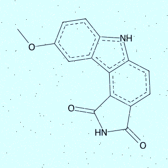 COc1ccc2[nH]c3ccc4c(c3c2c1)C(=O)NC4=O